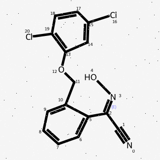 N#C/C(=N/O)c1ccccc1COc1cc(Cl)ccc1Cl